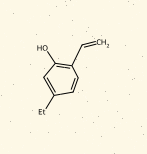 C=Cc1ccc(CC)cc1O